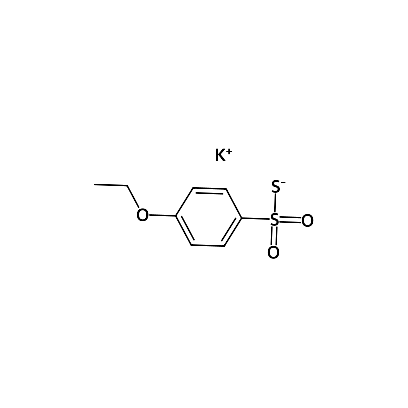 CCOc1ccc(S(=O)(=O)[S-])cc1.[K+]